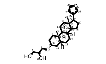 C[C@]12CC[C@H](OCC(O)CO)C[C@H]1CC[C@@H]1[C@@H]2CC[C@]2(C)[C@@H](c3ccoc3)CC[C@]12O